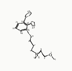 COCCN(C)CCCSc1cccc(Cl)c1Cl